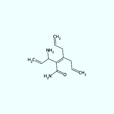 C=CCC(CC=C)=C(C(N)=O)C(N)C=C